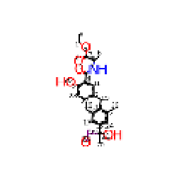 CCOC(=O)C(C)NC(=O)c1cc(Cc2c(C)cc(C(C)(O)P=O)cc2C)ccc1O